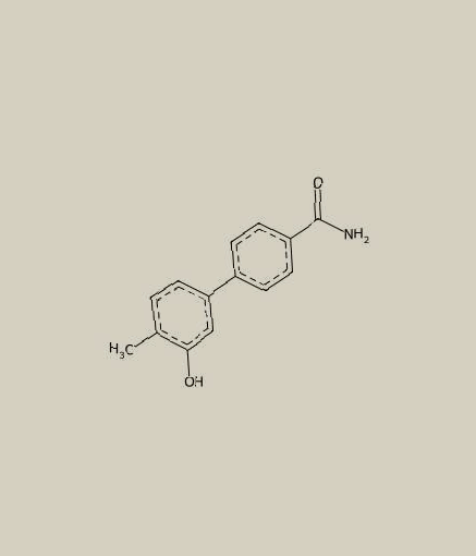 Cc1ccc(-c2ccc(C(N)=O)cc2)cc1O